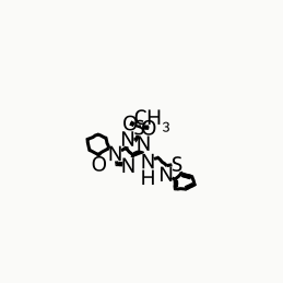 CS(=O)(=O)c1nc(NCc2nc3ccccc3s2)c2ncn(C3CCCCC3=O)c2n1